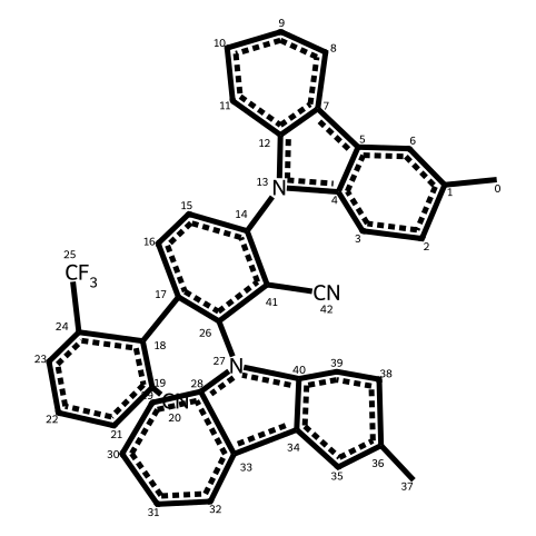 Cc1ccc2c(c1)c1ccccc1n2-c1ccc(-c2c(C#N)cccc2C(F)(F)F)c(-n2c3ccccc3c3cc(C)ccc32)c1C#N